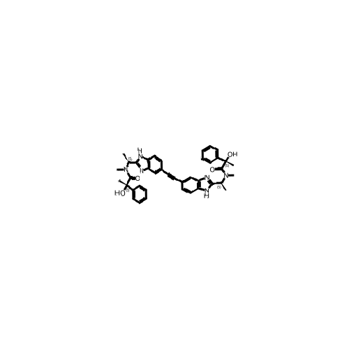 C[C@@H](c1nc2cc(C#Cc3ccc4[nH]c([C@H](C)N(C)C(=O)[C@@](C)(O)c5ccccc5)nc4c3)ccc2[nH]1)N(C)C(=O)[C@@](C)(O)c1ccccc1